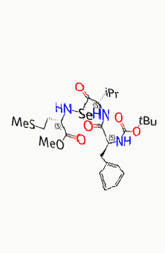 COC(=O)[C@H](CCSC)N[Se]C(=O)[C@@H](NC(=O)[C@H](Cc1ccccc1)NC(=O)OC(C)(C)C)C(C)C